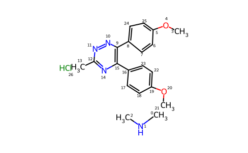 CNC.COc1ccc(-c2nnc(C)nc2-c2ccc(OC)cc2)cc1.Cl